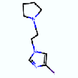 Ic1cn(CCN2CCCC2)cn1